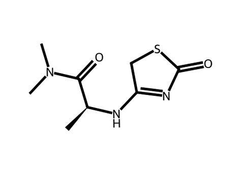 C[C@H](NC1=NC(=O)SC1)C(=O)N(C)C